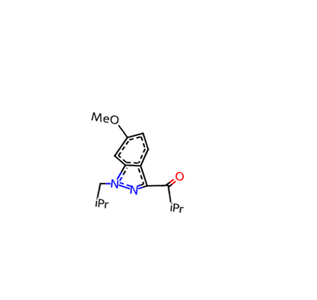 COc1ccc2c(C(=O)C(C)C)nn(CC(C)C)c2c1